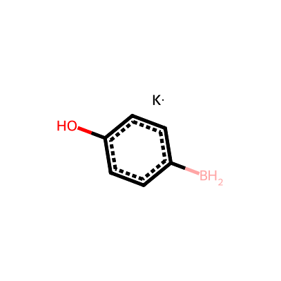 Bc1ccc(O)cc1.[K]